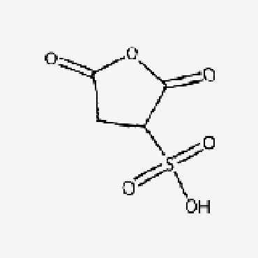 O=C1CC(S(=O)(=O)O)C(=O)O1